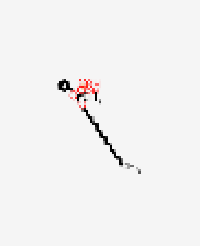 CCCCCCCCCCCCCCCCCCOCC(OCc1ccccc1)C(C)OP(=O)(O)O